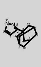 C1=CC(C23CC4CC(CC(C4)C2)C3)=N[N]1